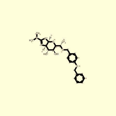 CN(C)C1=N[C@@H]2[C@@H](O)[C@H](O)C([C@@H](OCc3ccc(OCc4ccccc4)cc3)C(F)(F)F)O[C@@H]2S1